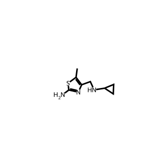 Cc1sc(N)nc1CNC1CC1